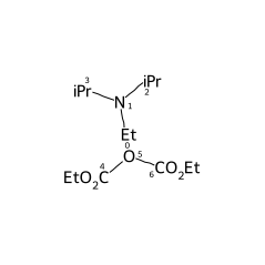 CCN(C(C)C)C(C)C.CCOC(=O)OC(=O)OCC